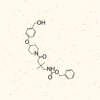 CC(C)(CNC(=O)OCc1ccccc1)CC(=O)N1CCC(Oc2ccc(CO)cc2)CC1